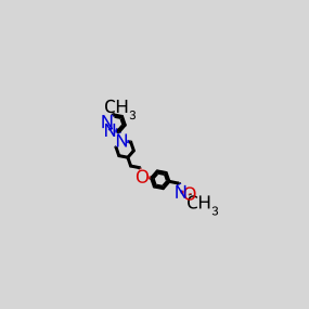 CON=Cc1ccc(OCCC2CCN(c3ccc(C)nn3)CC2)cc1